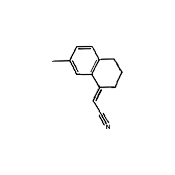 Cc1ccc2c(c1)/C(=C/C#N)CCC2